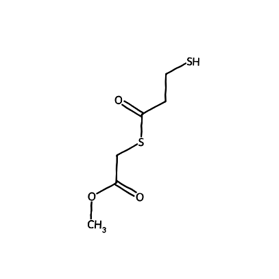 COC(=O)CSC(=O)CCS